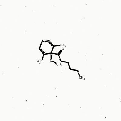 CCCCCC(=O)C1(OC)C(C)=CCC=C1C